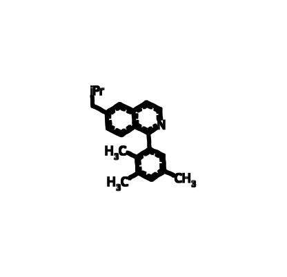 Cc1cc(C)c(C)c(-c2nccc3cc(CC(C)C)ccc23)c1